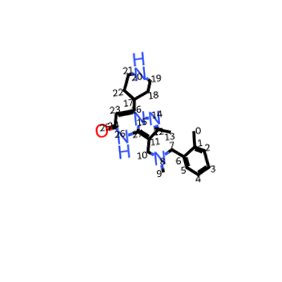 Cc1ccccc1CN(C)Cc1c(C)nn2c(C3CCNCC3)cc(=O)[nH]c12